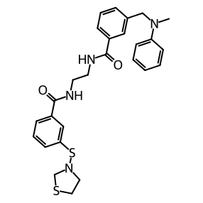 CN(Cc1cccc(C(=O)NCCNC(=O)c2cccc(SN3CCSC3)c2)c1)c1ccccc1